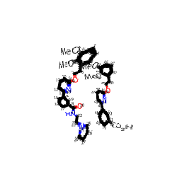 COc1cccc(CCOc2cccc(-c3cccc(C(=O)NCCN4CCCC4)c3)n2)c1OC.COc1cccc(CCOc2cccc(-c3cccc(C(=O)O)c3)n2)c1OC